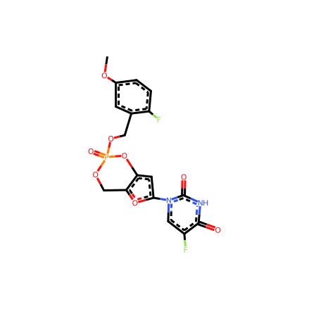 COc1ccc(F)c(COP2(=O)OCc3oc(-n4cc(F)c(=O)[nH]c4=O)cc3O2)c1